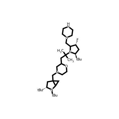 CC(C)(C)[C@@H]1CC2(CN3CCOC(CC(C)(C)N4C(CN5CCNCC5)[C@H](F)C[C@H]4C(C)(C)C)C3)CC2N1C(C)(C)C